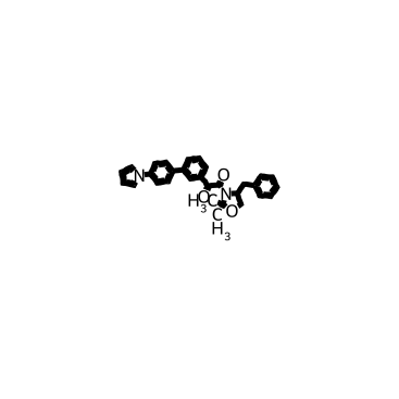 CC1(C)OCC(Cc2ccccc2)N1C(=O)C(=O)c1cccc(-c2ccc(-n3cccc3)cc2)c1